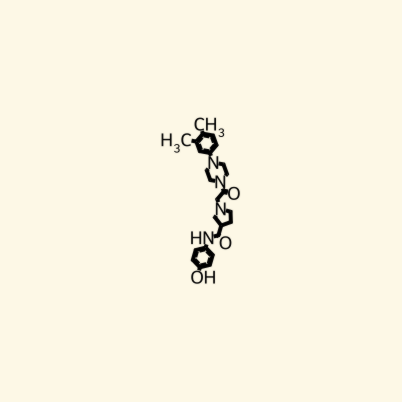 Cc1ccc(N2CCN(C(=O)CN3CCC(C(=O)Nc4ccc(O)cc4)C3)CC2)cc1C